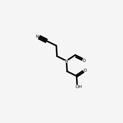 N#CCCN(C=O)CC(=O)O